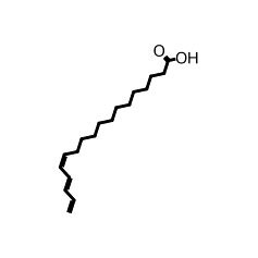 C=C/C=C/C=C\CCCCCCCCCCCC(=O)O